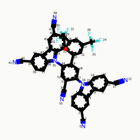 N#Cc1ccc2c(c1)c1cc(C#N)ccc1n2-c1cc(-c2cc(C(F)(F)F)cc(C(F)(F)F)c2)c(-n2c3ccc(C#N)cc3c3cc(C#N)ccc32)cc1C#N